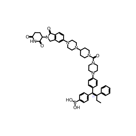 CC/C(=C(\c1ccc(B(O)O)cc1)c1ccc(N2CCN(C(=O)N3CCC(N4CCN(c5ccc6c(c5)CN(C5CCC(=O)NC5=O)C6=O)CC4)CC3)CC2)cc1)c1ccccc1